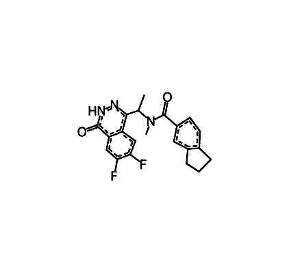 CC(c1n[nH]c(=O)c2cc(F)c(F)cc12)N(C)C(=O)c1ccc2c(c1)CCC2